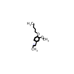 C/C=C/c1ccc(OCCCCC)c(OC)c1